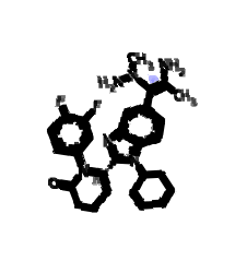 C/C(N)=C(\c1ccc2c(c1)nc([C@@H]1CCCC(=O)N1c1ccc(F)c(F)c1)n2C1CCCCC1)N(C)N